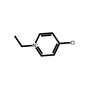 CC[n+]1ccc(Cl)cc1